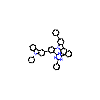 c1ccc(-c2ccc3c4ccccc4n(-c4ccc(-c5ccc6c(c5)c5ccccc5n6-c5ccccc5)cc4-c4nc(-c5ccccc5)nc(-c5ccccc5)n4)c3c2)cc1